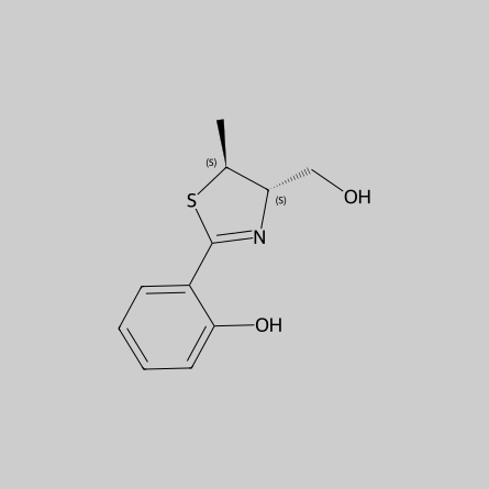 C[C@@H]1SC(c2ccccc2O)=N[C@H]1CO